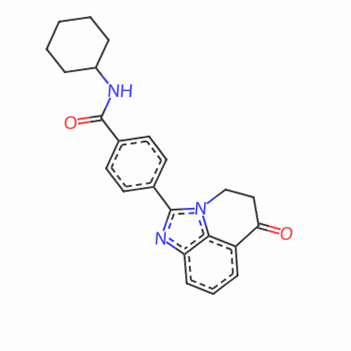 O=C(NC1CCCCC1)c1ccc(-c2nc3cccc4c3n2CCC4=O)cc1